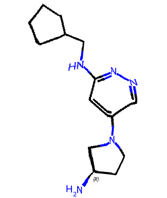 N[C@@H]1CCN(c2cnnc(NCC3CCCC3)c2)C1